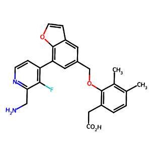 Cc1ccc(CC(=O)O)c(OCc2cc(-c3ccnc(CN)c3F)c3occc3c2)c1C